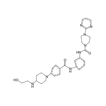 O=C(Nc1cccc(NC(=O)N2CCN(c3ncccn3)CC2)c1)c1ccc(N2CCC(NCCO)CC2)cc1